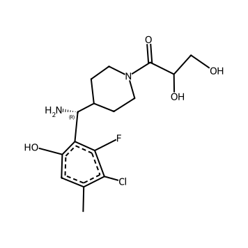 Cc1cc(O)c([C@H](N)C2CCN(C(=O)C(O)CO)CC2)c(F)c1Cl